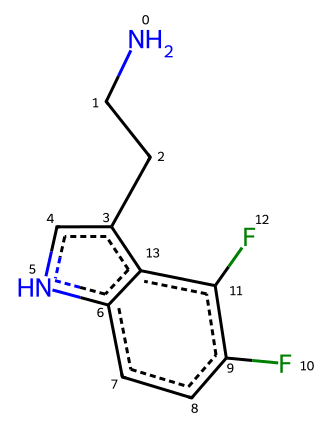 NCCc1c[nH]c2ccc(F)c(F)c12